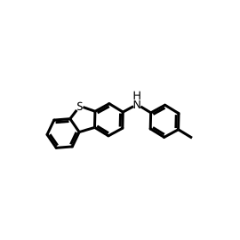 Cc1ccc(Nc2ccc3c(c2)sc2ccccc23)cc1